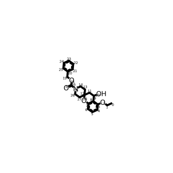 CCOc1cccc2c1C(O)CC1(CCN(C(=O)OCc3ccccc3)CC1)O2